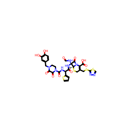 O=CN[C@@]1(NC(=O)C(NC(=O)N2CCN(Cc3ccc(O)c(O)c3)C(=O)C2=O)c2cccs2)C(=O)N2C(C(=O)O)=C(CSc3nncs3)CS[C@H]21